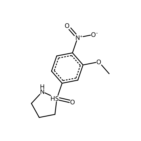 COc1cc([SH]2(=O)CCCN2)ccc1[N+](=O)[O-]